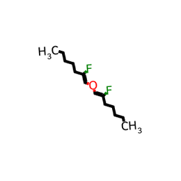 CCCCCC(F)=COC=C(F)CCCCC